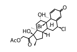 CC(=O)OCC(=O)[C@@]1(O)[C@H](C)C[C@H]2[C@@H]3C[C@H](Cl)C4=CC(=O)C=C[C@]4(C)[C@@]3(Br)[C@@H](O)C[C@@]21C